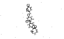 O=c1cc(OCc2ccc(Cl)cn2)ccn1-c1ccc2c3c(oc2c1)CCCCC3